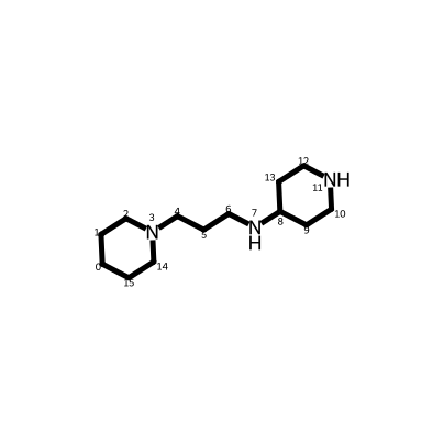 C1CCN(CCCNC2CCNCC2)CC1